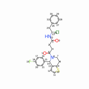 O=C(CCC(=O)N1CCc2sccc2C1c1ccc(F)cc1)NC(Cl)Cc1ccccc1